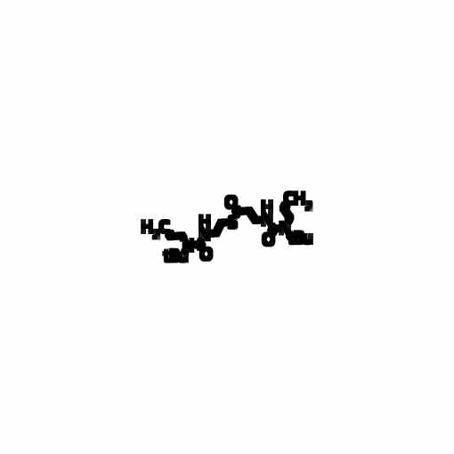 C=CCN(C(=O)NCCSC(=O)CCNC(=O)N(CC=C)C(C)(C)C)C(C)(C)C